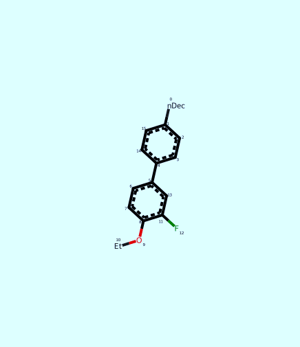 CCCCCCCCCCc1ccc(-c2ccc(OCC)c(F)c2)cc1